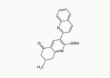 COc1nc2c(cc1-c1ccc3ccccc3n1)C(=O)CC(C)C2